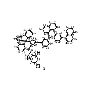 C[C@H]1C[C@@H]2C[C@H](C1)C[C@H](C1c3ccccc3C3(c4ccccc4-c4ccccc43)c3ccc(-c4cccc(N(c5ccc(-c6cccc7ccccc67)cc5)c5cccc6ccccc56)c4)cc31)C2